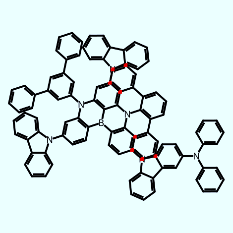 c1ccc(-c2cc(-c3ccccc3)cc(N3c4cc(-n5c6ccccc6c6ccccc65)ccc4B4c5ccc(-n6c7ccccc7c7cc(N(c8ccccc8)c8ccccc8)ccc76)cc5N(c5c(-c6ccccc6)cccc5-c5ccccc5)c5cc(-n6c7ccccc7c7ccccc76)cc3c54)c2)cc1